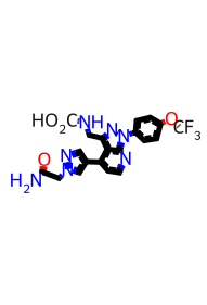 NC(=O)Cn1cc(-c2ccnc3c2c(CNC(=O)O)nn3-c2ccc(OC(F)(F)F)cc2)cn1